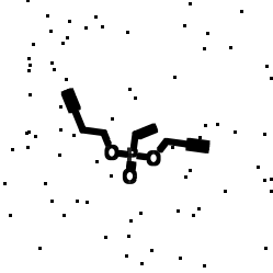 C#CCCOP(=O)(C=C)OCC#C